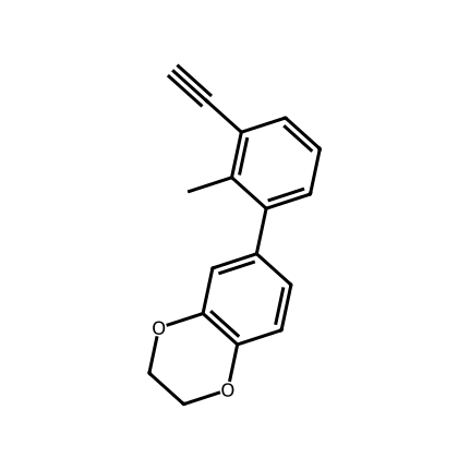 C#Cc1cccc(-c2ccc3c(c2)OCCO3)c1C